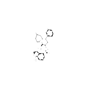 CC1CCN(C(=O)C(CCc2cccc(F)c2)NS(=O)(=O)c2cccc3[nH]ccc23)CC1